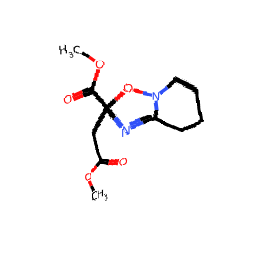 COC(=O)CC1(C(=O)OC)N=C2CCCCN2O1